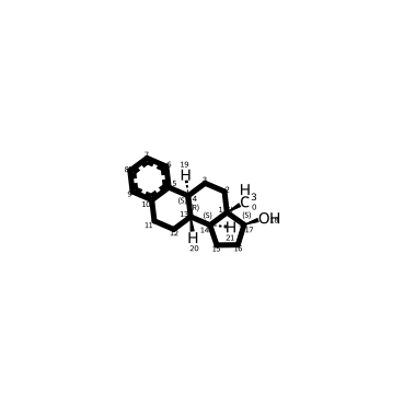 C[C@]12CC[C@@H]3c4cc[c]cc4CC[C@H]3[C@@H]1CC[C@@H]2O